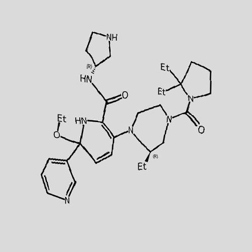 CCOC1(c2cccnc2)C=CC(N2CCN(C(=O)N3CCCC3(CC)CC)C[C@H]2CC)=C(C(=O)N[C@@H]2CCNC2)N1